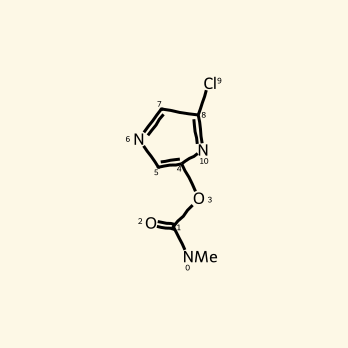 CNC(=O)Oc1cncc(Cl)n1